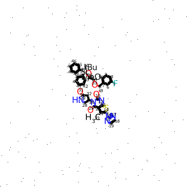 COc1ccc(F)cc1[C@H](COc1nc2sc(-n3nccn3)c(C)c2c(=O)n1C1CNC(=O)C1)OCCO[Si](c1ccccc1)(c1ccccc1)C(C)(C)C